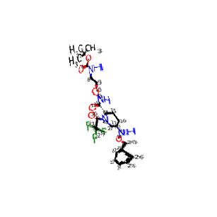 CC(C)(C)OC(=O)NCCONC(=O)[C@@H]1CC[C@@H](NOCc2ccccc2)CN1C(=O)C(F)(F)F